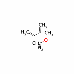 C=CC(=C)C.COC